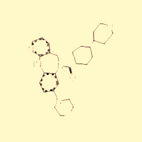 O=C([C@H]1CC[C@H](C2CCOCC2)CC1)N1Cc2cccnc2Nc2ccc(N3CCOCC3)cc21